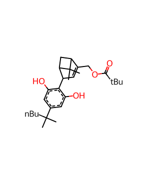 CCCCC(C)(C)c1cc(O)c(C2C=C(COC(=O)C(C)(C)C)C3CC2C3(C)C)c(O)c1